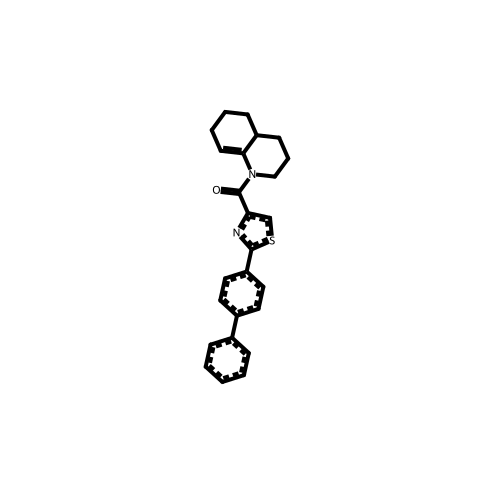 O=C(c1csc(-c2ccc(-c3ccccc3)cc2)n1)N1CCCC2CCCC=C21